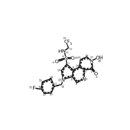 O=c1c2ncc3c(c(S(=O)(=O)NCC(F)(F)F)cn3Cc3ccc(F)cc3)c2ccn1O